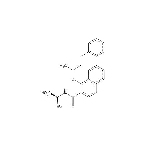 CC[C@H](C)[C@H](NC(=O)c1ccc2ccccc2c1OC(C)CCc1ccccc1)C(=O)O